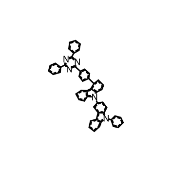 c1ccc(-c2nc(-c3ccccc3)nc(-c3ccc(-c4cccc5c4c4ccccc4n5-c4ccc5c(c4)c4ccccc4n5-c4ccccc4)cc3)n2)cc1